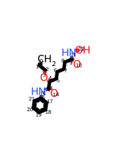 C=CCOC(CCCCC(=O)NO)C(=O)Nc1ccccc1